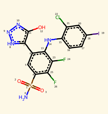 NS(=O)(=O)c1cc(-c2[nH]nnc2O)c(Nc2ccc(I)cc2Cl)c(F)c1F